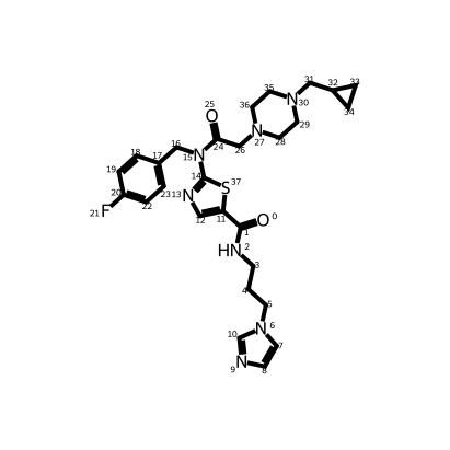 O=C(NCCCn1ccnc1)c1cnc(N(Cc2ccc(F)cc2)C(=O)CN2CCN(CC3CC3)CC2)s1